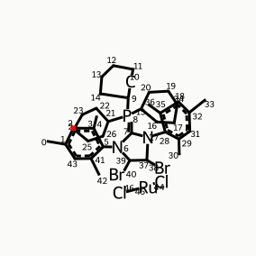 Cc1cc(C)c(N2C(=P(C3CCCCC3)(C3CCCCC3)C3CCCCC3)N(c3c(C)cc(C)cc3C)C(Br)C2Br)c(C)c1.[Cl][Ru][Cl]